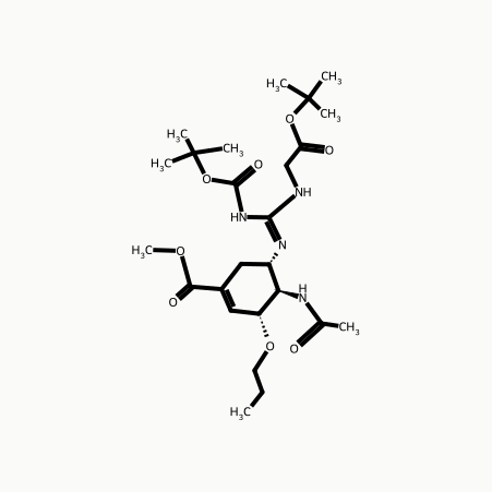 CCCO[C@@H]1C=C(C(=O)OC)C[C@H](N=C(NCC(=O)OC(C)(C)C)NC(=O)OC(C)(C)C)[C@H]1NC(C)=O